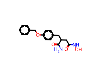 NC(=O)C(CC(=O)NO)Cc1ccc(OCc2ccccc2)cc1